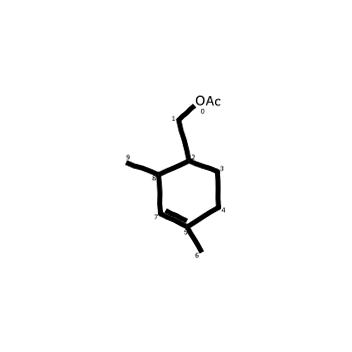 CC(=O)OCC1CCC(C)=CC1C